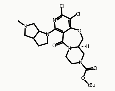 CN1CC2CCN(c3nc(Cl)c(Cl)c4c3C(=O)N3CCN(C(=O)OC(C)(C)C)C[C@@H]3CO4)C2C1